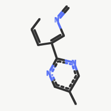 C=N/C=C(\C=C/C)c1ncc(C)cn1